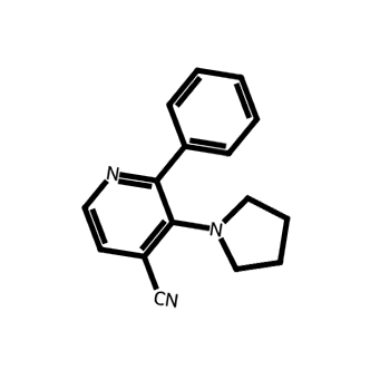 N#Cc1ccnc(-c2ccccc2)c1N1CCCC1